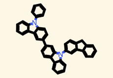 c1ccc(-n2c3ccccc3c3cc(-c4ccc5c6ccccc6n(-c6ccc7c(c6)-c6ccccc6C7)c5c4)ccc32)cc1